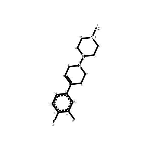 CC(=O)N1CCN(N2CC=C(c3ccc(F)c(C)c3)CC2)CC1